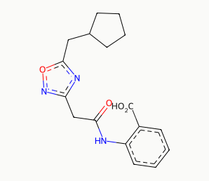 O=C(Cc1noc(CC2CCCC2)n1)Nc1ccccc1C(=O)O